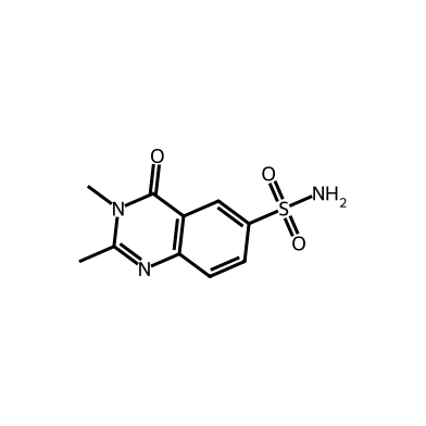 Cc1nc2ccc(S(N)(=O)=O)cc2c(=O)n1C